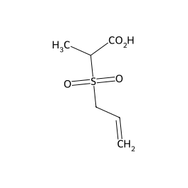 C=CCS(=O)(=O)C(C)C(=O)O